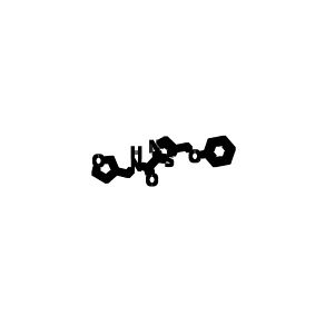 O=C(NCC1CCOC1)c1ncc(COc2ccccc2)s1